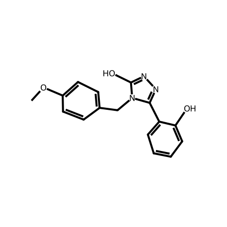 COc1ccc(Cn2c(O)nnc2-c2ccccc2O)cc1